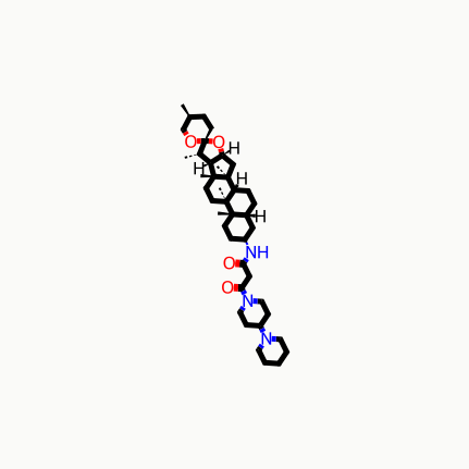 C[C@H]1CC[C@@]2(OC1)O[C@H]1C[C@@]3(C)[C@@H]4CC[C@@H]5C[C@H](NC(=O)CC(=O)N6CCC(N7CCCCC7)CC6)CC[C@]5(C)[C@@]4(C)CC[C@]3(C)[C@H]1[C@@H]2C